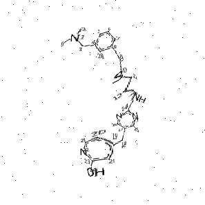 CN(C)Cc1cccc(CSCCNc2ncc(Cc3ccnc(O)c3)cn2)c1